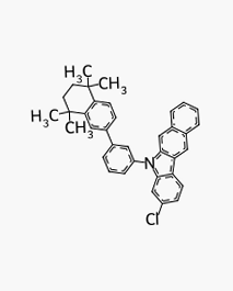 CC1(C)CCC(C)(C)c2cc(-c3cccc(-n4c5cc(Cl)ccc5c5cc6ccccc6cc54)c3)ccc21